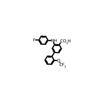 O=C(O)c1ccc(-c2ccccc2OC(F)(F)F)cc1Nc1ccc(F)cc1